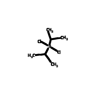 C[CH](C)[Ti]([Cl])([Cl])[CH](C)C